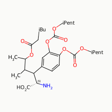 CCCC(C)OC(=O)Oc1ccc(C(C(C)C(C)OC(=O)CC(C)CC)[C@H](N)C(=O)O)cc1OC(=O)OC(C)CCC